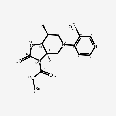 C[C@H]1CN(c2ccncc2[N+](=O)[O-])C[C@@H]2C1OC(=O)N2C(=O)OC(C)(C)C